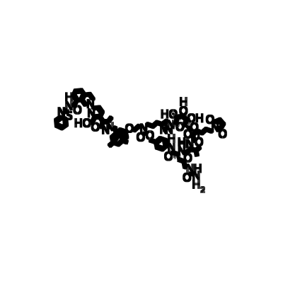 Cc1c(-c2ccc(N3CCc4cccc(C(=O)Nc5nc6ccccc6s5)c4C3)nc2C(=O)O)cnn1CC12CC3(C)CC(C)(C1)CC(OCCN(CCCc1cn([C@@H]4O[C@H](C(=O)O)[C@@H](O)[C@H](O)[C@H]4O)nn1)C(=O)OCc1ccc(NC(=O)[C@H](CCCNC(N)=O)NC(=O)[C@@H](NC(=O)CCCCCN4C(=O)C=CC4=O)C(C)C)cc1)(C3)C2